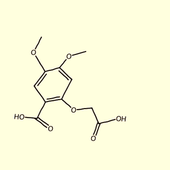 COc1cc(OCC(=O)O)c(C(=O)O)cc1OC